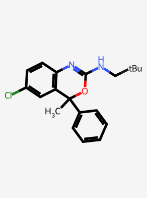 CC(C)(C)CNC1=Nc2ccc(Cl)cc2C(C)(c2ccccc2)O1